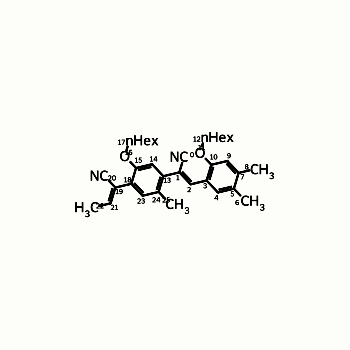 [C-]#[N+]/C(=C\c1cc(C)c(C)cc1OCCCCCC)c1cc(OCCCCCC)c(/C(C#N)=C/C)cc1C